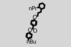 CCCCc1ccc(OC(=O)c2ccc(OCCCC3CCCCC3CCC)cc2)cc1